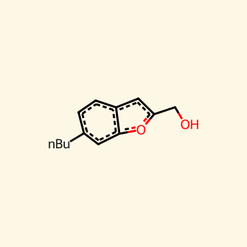 CCCCc1ccc2cc(CO)oc2c1